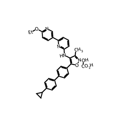 CCOc1ccc(-c2cccc(Nc3c(C)noc3-c3ccc(-c4ccc(C5CC5)cc4)cc3)n2)cn1.O=C(O)O